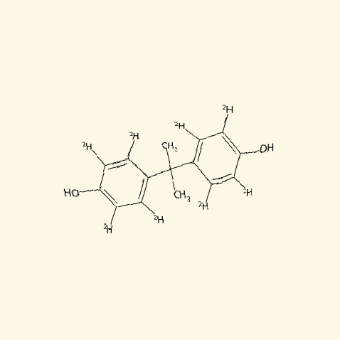 [2H]c1c([2H])c(C(C)(C)c2c([2H])c([2H])c(O)c([2H])c2[2H])c([2H])c([2H])c1O